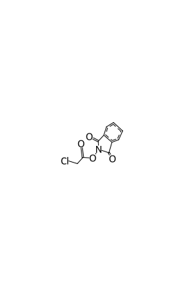 O=C(CCl)ON1C(=O)c2ccccc2C1=O